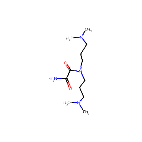 CN(C)CCCN(CCCN(C)C)C(=O)C(N)=O